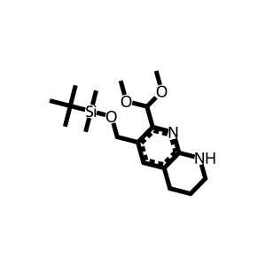 COC(OC)c1nc2c(cc1CO[Si](C)(C)C(C)(C)C)CCCN2